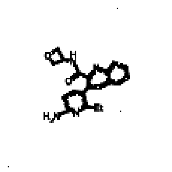 CCc1nc(N)ccc1-c1cc2ccccc2nc1C(=O)NC1COC1